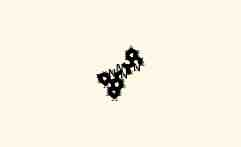 c1ccc2c(-c3cnc(-c4nc5ccccc5c5c4ccc4ccccc45)nc3)nccc2c1